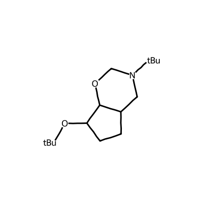 CC(C)(C)OC1CCC2CN(C(C)(C)C)COC21